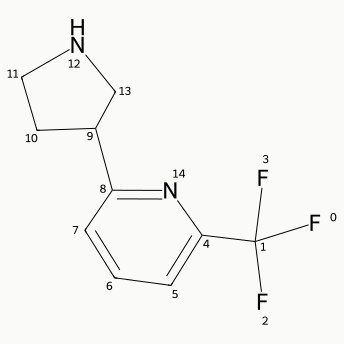 FC(F)(F)c1cccc(C2CCNC2)n1